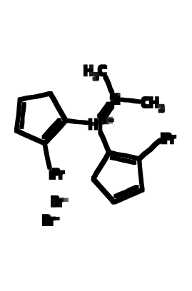 CC(C)C1=[C]([Hf+2]([C]2=C(C(C)C)C=CC2)=[Si](C)C)CC=C1.[Br-].[Br-]